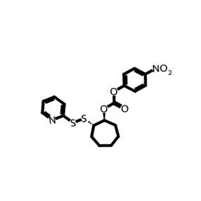 O=C(Oc1ccc([N+](=O)[O-])cc1)O[C@H]1CCCCC[C@@H]1SSc1ccccn1